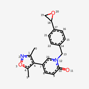 Cc1noc(C)c1-c1ccc(=O)n(Cc2ccc(C3CO3)cc2)c1